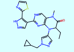 CCC1C(=O)N(C)c2cnc(-c3cn[nH]c3-c3nccs3)nc2N1c1cnn(CC2CC2)c1